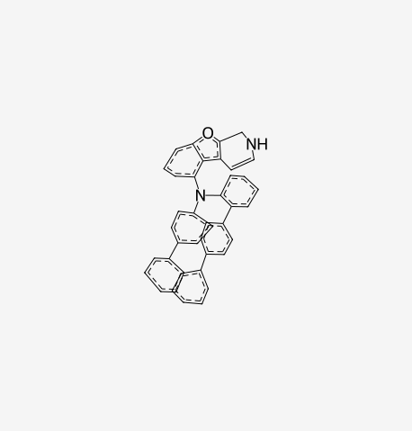 C1=Cc2c(oc3cccc(N(c4ccc(-c5ccccc5)cc4)c4ccccc4-c4ccc(-c5ccccc5)cc4)c23)CN1